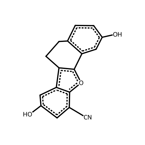 N#Cc1cc(O)cc2c3c(oc12)-c1cc(O)ccc1CC3